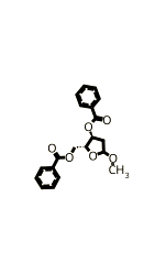 COC1C[C@H](OC(=O)c2ccccc2)[C@@H](COC(=O)c2ccccc2)O1